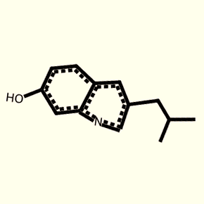 CC(C)Cc1cnc2cc(O)ccc2c1